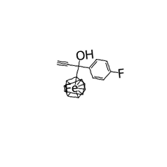 C#CC(O)(c1ccc(F)cc1)[C]12[CH]3[CH]4[CH]5[CH]1[Fe]45321678[CH]2[CH]1[CH]6[CH]7[CH]28